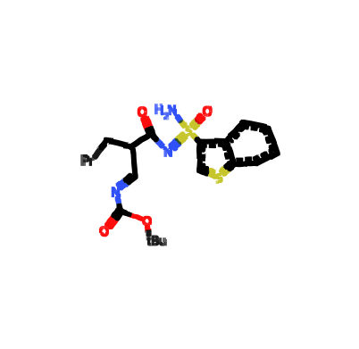 CC(C)CC(C=NC(=O)OC(C)(C)C)C(=O)N=S(N)(=O)c1csc2ccccc12